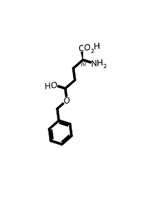 N[C@@H](CCC(O)OCc1ccccc1)C(=O)O